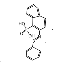 O=P(O)(O)c1c(N=Nc2ccccc2)ccc2ccccc12